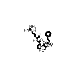 N=C(N)NCCC[C@@H](C=O)NC(=O)[C@@H]1CCCN1C(=O)[C@@H](CO)NS(=O)(=O)CCc1ccccc1